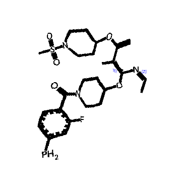 C=C(OC1CCN(S(C)(=O)=O)CC1)/C(C)=C(\N=C/C)OC1CCN(C(=O)c2ccc(P)cc2F)CC1